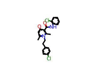 Cc1cc(=O)c(C(=O)Nc2ccccc2Cl)c(C)n1CCc1ccc(Cl)cc1